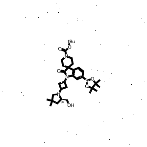 CC1(C)C[C@H](CO)N(C2CC(N3C(=O)C4(CCN(C(=O)OC(C)(C)C)CC4)c4ccc(B5OC(C)(C)C(C)(C)O5)cc43)C2)C1